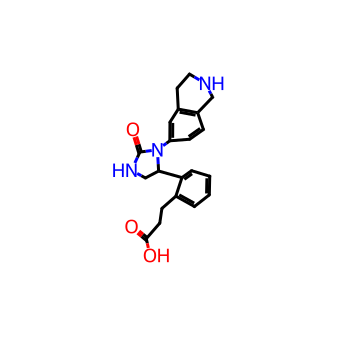 O=C(O)CCc1ccccc1C1CNC(=O)N1c1ccc2c(c1)CCNC2